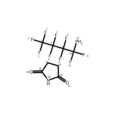 FC(F)(F)C(F)(F)C(F)(F)C(F)(F)P.O=C1CCC(=O)N1